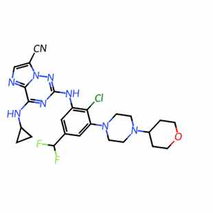 N#Cc1cnc2c(NC3CC3)nc(Nc3cc(C(F)F)cc(N4CCN(C5CCOCC5)CC4)c3Cl)nn12